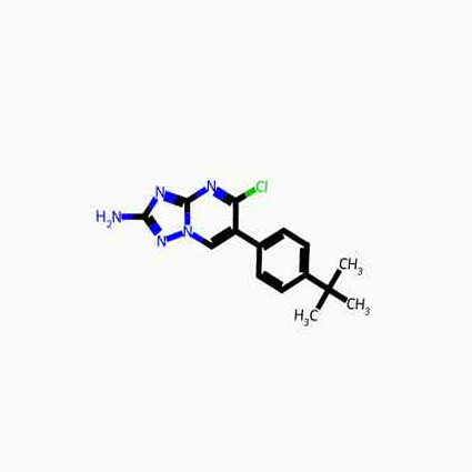 CC(C)(C)c1ccc(-c2cn3nc(N)nc3nc2Cl)cc1